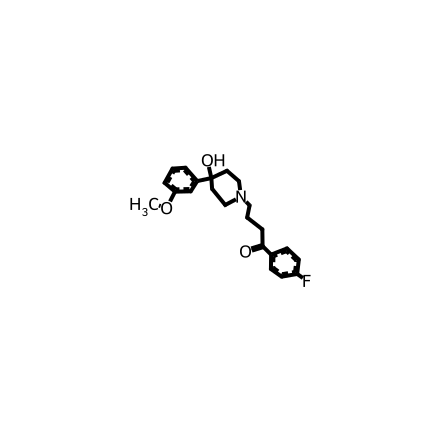 COc1cccc(C2(O)CCN(CCCC(=O)c3ccc(F)cc3)CC2)c1